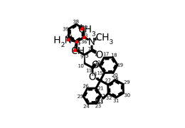 CC(N)C(C)N(C)C(=O)[C@@H](CC(=O)OC(c1ccccc1)(c1ccccc1)c1ccccc1Cl)Cc1ccccc1